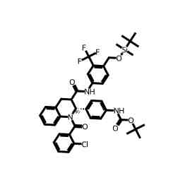 CC(C)(C)OC(=O)Nc1ccc([C@H]2C(C(=O)Nc3ccc(CO[Si](C)(C)C(C)(C)C)c(C(F)(F)F)c3)Cc3ccccc3N2C(=O)c2ccccc2Cl)cc1